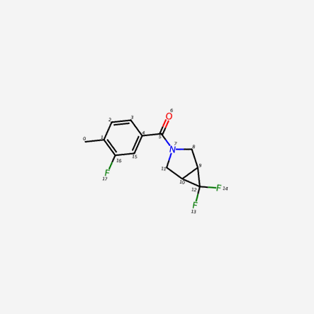 Cc1ccc(C(=O)N2CC3C(C2)C3(F)F)cc1F